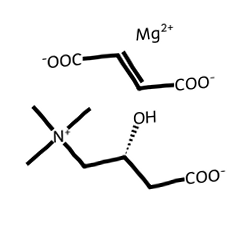 C[N+](C)(C)C[C@H](O)CC(=O)[O-].O=C([O-])C=CC(=O)[O-].[Mg+2]